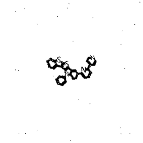 c1ccc(-n2c3ccc(-c4cccc(-c5ccncc5)n4)cc3c3sc4sc5ccccc5c4c32)cc1